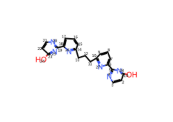 Oc1ccnc(-c2cccc(CCCc3cccc(-c4nccc(O)n4)n3)n2)n1